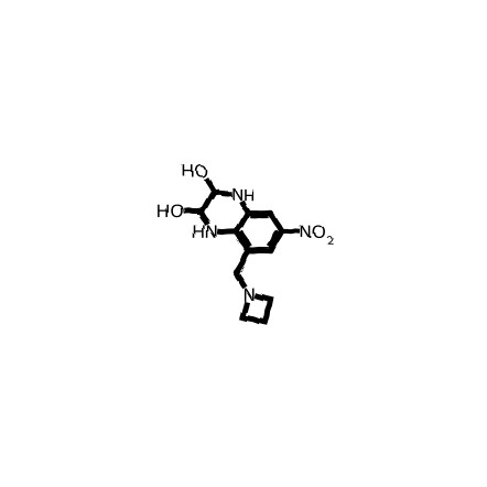 O=[N+]([O-])c1cc(CN2CCC2)c2c(c1)NC(O)C(O)N2